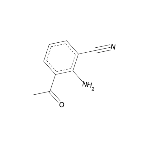 CC(=O)c1cccc(C#N)c1N